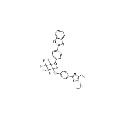 C=Cc1nc(-c2ccc(OC3(F)C(F)(F)C(F)(F)C3(F)Oc3ccc(-c4nc5ccccc5o4)cc3)cc2)oc1/C=C\C